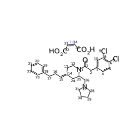 O=C(Cc1ccc(Cl)c(Cl)c1)N1CCC(=CCCc2ccccc2)CC1CN1CCCC1.O=C(O)/C=C\C(=O)O